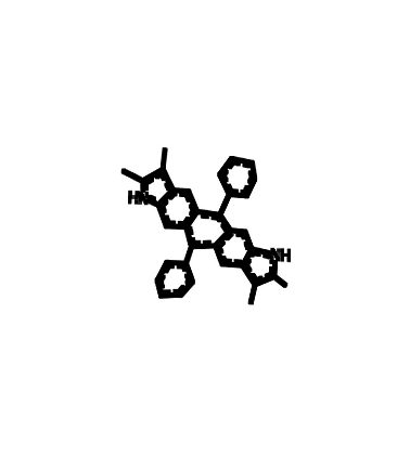 Cc1[nH]c2cc3c(-c4ccccc4)c4cc5c(C)c(C)[nH]c5cc4c(-c4ccccc4)c3cc2c1C